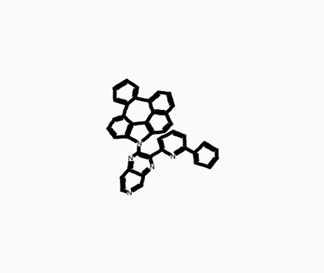 c1ccc(-c2cccc(-c3nc4cnccc4nc3-n3c4cccc5c4c4c6c(cccc6ccc43)-c3ccccc3-5)n2)cc1